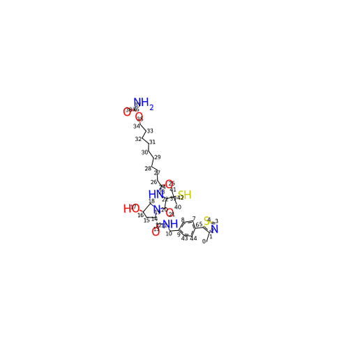 Cc1ncsc1-c1ccc(CNC(=O)[C@@H]2C[C@@H](O)CN2C(=O)C(NC(=O)CCCCCCCCCOC(N)=O)C(C)(C)S)cc1